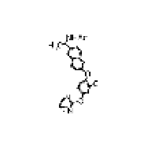 CC(=O)NC(C)c1ccc2cc(Oc3ccc(Oc4ncccn4)cc3Cl)ccc2c1